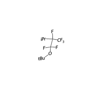 CC(C)C(F)(C(F)(F)F)C(F)(F)OC(C)(C)C